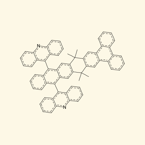 CC1(C)c2cc3c(-c4c5ccccc5nc5ccccc45)c4ccccc4c(-c4c5ccccc5nc5ccccc45)c3cc2C(C)(C)c2cc3c4ccccc4c4ccccc4c3cc21